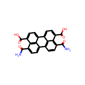 NC(=O)c1ccc2c3ccc(C(N)=O)c4c(C(=O)O)ccc(c5ccc(C(=O)O)c1c25)c43